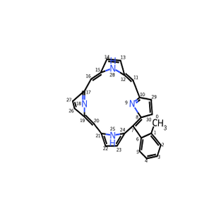 Cc1ccccc1-c1c2nc(cc3ccc(cc4nc(cc5ccc1[nH]5)C=C4)[nH]3)C=C2